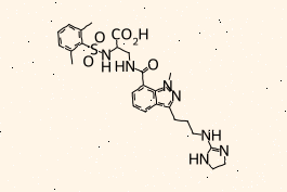 Cc1cccc(C)c1S(=O)(=O)NC(CNC(=O)c1cccc2c(CCCNC3=NCCN3)nn(C)c12)C(=O)O